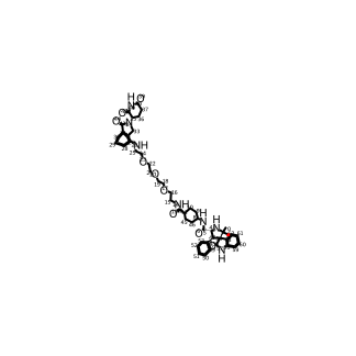 CC1(C)N[C@@H](C(=O)NC2CCC(C(=O)NCCOCCOCCOCCNc3cccc4c3CN(C3CCC(=O)NC3=O)C4=O)CC2)[C@H](c2ccccc2)[C@]12C(=O)Nc1ccccc12